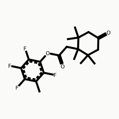 Cc1c(F)c(F)c(F)c(OC(=O)CC2(C)C(C)(C)CC(=O)CC2(C)C)c1F